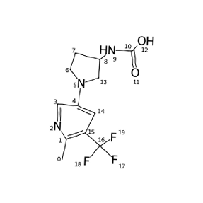 Cc1ncc(N2CCC(NC(=O)O)C2)cc1C(F)(F)F